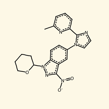 Cc1cccc(-c2nccn2-c2ccc3c(c2)c([N+](=O)[O-])nn3C2CCCCO2)n1